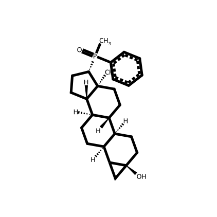 C[C@]12CC[C@@H]3[C@H]4CC[C@]5(O)CC5[C@H]4CC[C@H]3[C@@H]1CC[C@@H]2P(C)(=O)c1ccccc1